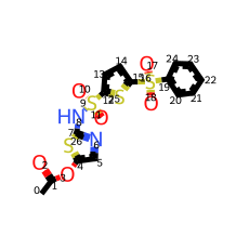 CC(=O)Oc1cnc(NS(=O)(=O)c2ccc(S(=O)(=O)c3ccccc3)s2)s1